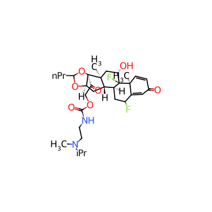 CCCC1O[C@@H]2C[C@H]3[C@@H]4C[C@H](F)C5=CC(=O)C=C[C@]5(C)[C@@]4(F)[C@@H](O)C[C@]3(C)[C@]2(C(=O)COC(=O)NCCN(C)C(C)C)O1